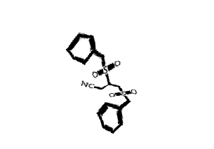 N#CC[C@H](CS(=O)(=O)Cc1ccccc1)S(=O)(=O)Cc1ccccc1